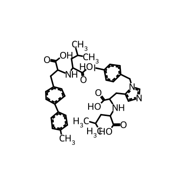 CC(C)CC(NC(Cc1cncn1Cc1ccc(I)cc1)C(=O)O)C(=O)O.Cc1ccc(-c2ccc(CC(NC(CC(C)C)C(=O)O)C(=O)O)cc2)cc1